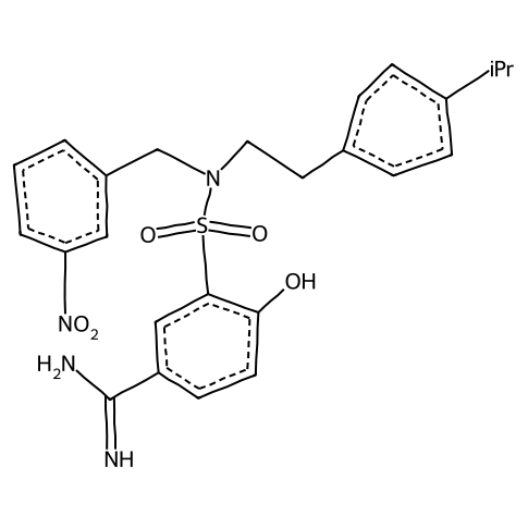 CC(C)c1ccc(CCN(Cc2cccc([N+](=O)[O-])c2)S(=O)(=O)c2cc(C(=N)N)ccc2O)cc1